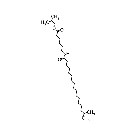 CC(C)CCCCCCCCCCCCCCC(=O)NCCCCCC(=O)OCC(C)C